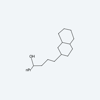 CCCC(O)CCCC1CCC2CCCCC2C1